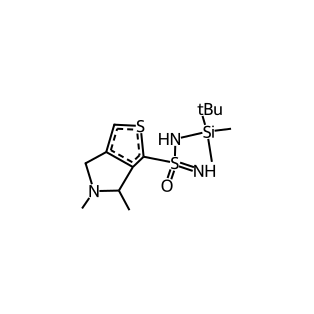 CC1c2c(csc2S(=N)(=O)N[Si](C)(C)C(C)(C)C)CN1C